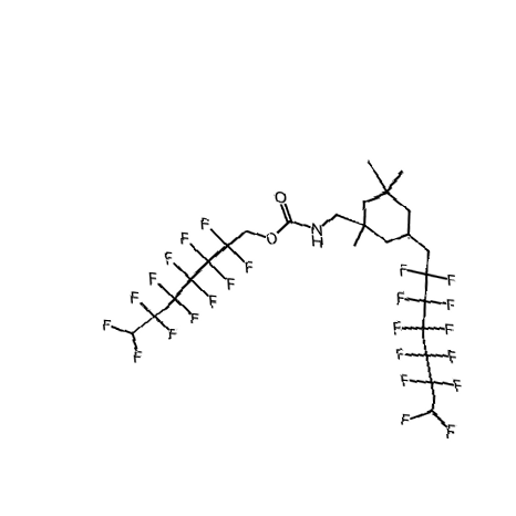 CC1(C)C[C](CC(F)(F)C(F)(F)C(F)(F)C(F)(F)C(F)(F)C(F)F)CC(C)(CNC(=O)OCC(F)(F)C(F)(F)C(F)(F)C(F)(F)C(F)(F)C(F)F)C1